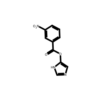 O=C(Oc1cnc[nH]1)c1cccc([N+](=O)[O-])c1